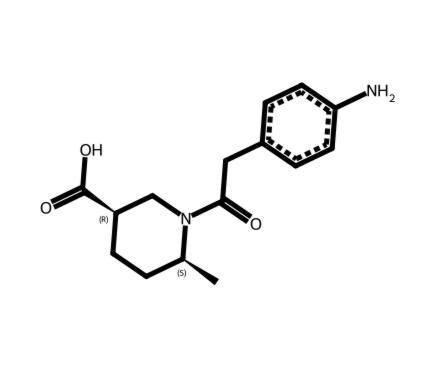 C[C@H]1CC[C@@H](C(=O)O)CN1C(=O)Cc1ccc(N)cc1